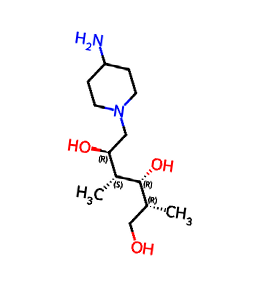 C[C@@H]([C@H](O)[C@H](C)CO)[C@@H](O)CN1CCC(N)CC1